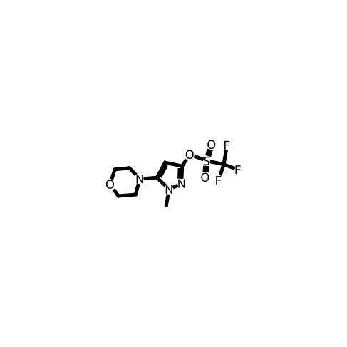 Cn1nc(OS(=O)(=O)C(F)(F)F)cc1N1CCOCC1